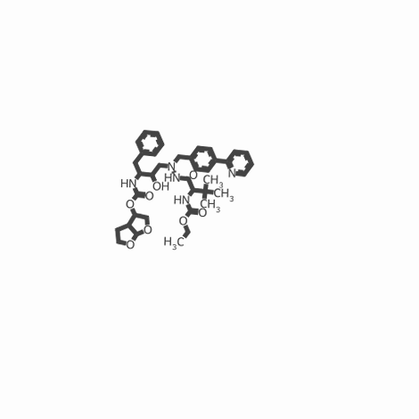 CCOC(=O)NC(C(=O)NN(Cc1ccc(-c2ccccn2)cc1)CC(O)C(Cc1ccccc1)NC(=O)OC1COC2OCCC12)C(C)(C)C